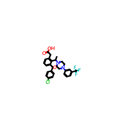 CC(c1c(CC(=O)O)cccc1C(=O)c1ccc(Cl)cc1)N1CCN(c2cccc(C(F)(F)F)c2)CC1